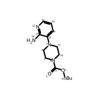 CCCCOC(=O)N1CCN(c2cccnc2N)CC1